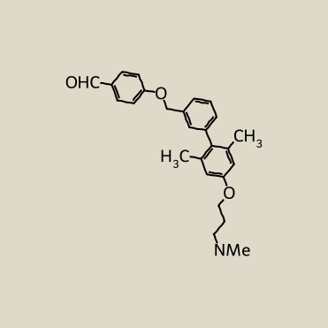 CNCCCOc1cc(C)c(-c2cccc(COc3ccc(C=O)cc3)c2)c(C)c1